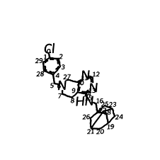 Clc1ccc(CN2CCc3c(ncnc3NCC34CC5CC(CC(C5)C3)C4)C2)cc1